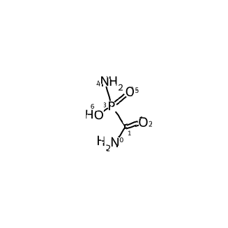 NC(=O)P(N)(=O)O